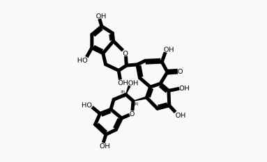 O=c1c(O)cc(C2Oc3cc(O)cc(O)c3CC2O)cc2c([C@H]3Oc4cc(O)cc(O)c4C[C@H]3O)cc(O)c(O)c12